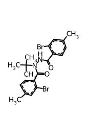 Cc1ccc(C(=O)NN(C(=O)c2ccc(C)cc2Br)C(C)(C)C)c(Br)c1